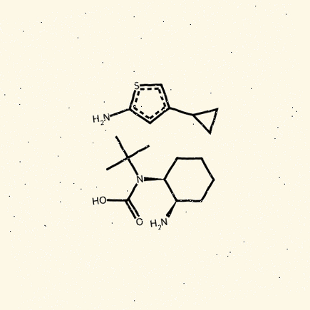 CC(C)(C)N(C(=O)O)[C@H]1CCCC[C@H]1N.Nc1cc(C2CC2)cs1